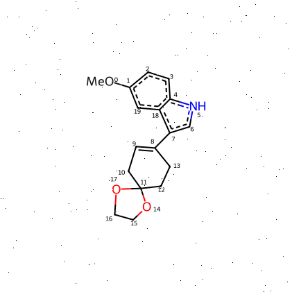 COc1ccc2[nH]cc(C3=CCC4(CC3)OCCO4)c2c1